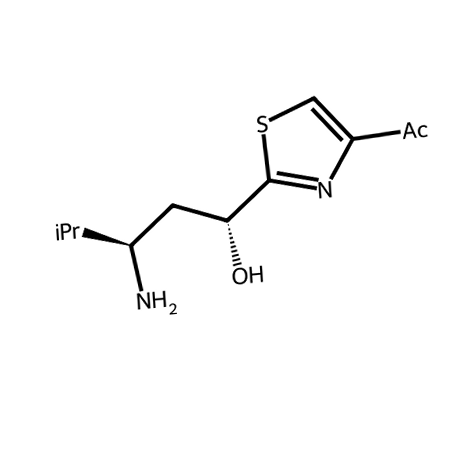 CC(=O)c1csc([C@H](O)C[C@@H](N)C(C)C)n1